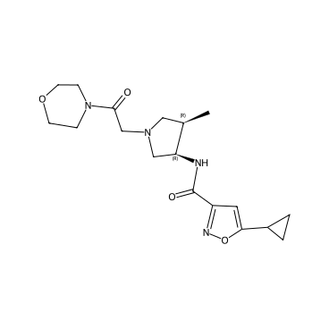 C[C@@H]1CN(CC(=O)N2CCOCC2)C[C@@H]1NC(=O)c1cc(C2CC2)on1